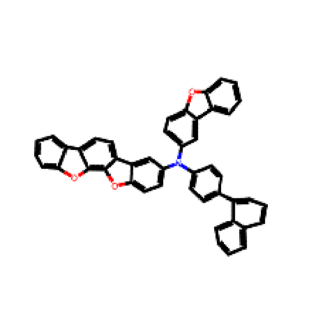 c1ccc2c(-c3ccc(N(c4ccc5oc6ccccc6c5c4)c4ccc5oc6c(ccc7c8ccccc8oc76)c5c4)cc3)cccc2c1